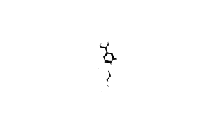 COCCCOc1c(C)cc(C(C=O)CBr)cc1C